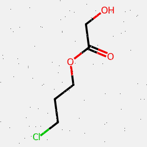 O=C(CO)OCCCCl